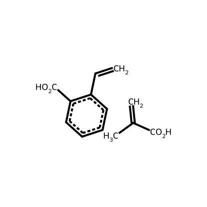 C=C(C)C(=O)O.C=Cc1ccccc1C(=O)O